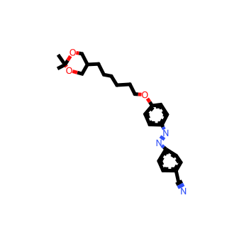 CC1(C)OCC(CCCCCCOc2ccc(N=Nc3ccc(C#N)cc3)cc2)CO1